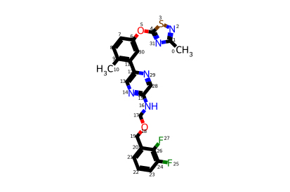 Cc1nsc(Oc2ccc(C)c(-c3cnc(NCOCc4cccc(F)c4F)cn3)c2)n1